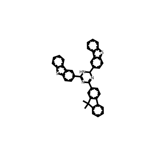 CC1(C)c2ccccc2-c2ccc(C3=NC(c4ccc5sc6ccccc6c5c4)NC(c4ccc5sc6ccccc6c5c4)=N3)cc21